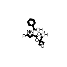 C#CC1(OC(=O)c2cc(F)nn2[C@H](C)c2ccccc2)COC1